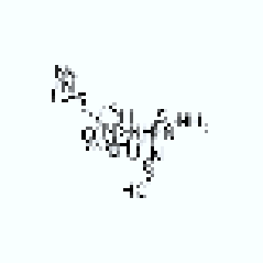 C#CCO/N=C(\C(=O)N[C@@H]1C(=O)N2C(OC(=O)O)=C(CSc3cccc4nccn34)CS[C@@H]12)c1csc(N)n1